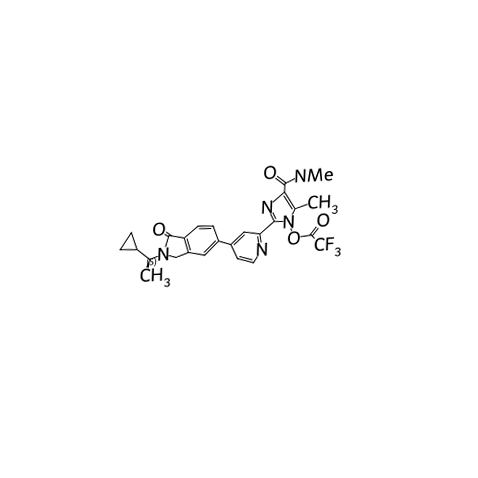 CNC(=O)c1nc(-c2cc(-c3ccc4c(c3)CN([C@@H](C)C3CC3)C4=O)ccn2)n(OC(=O)C(F)(F)F)c1C